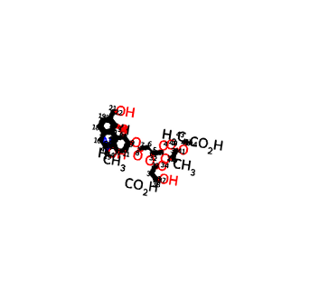 C[C@H](OC(=O)[C@H](CC(=O)OC1=CC[C@@]2(O)[C@H]3Cc4ccc(CO)c5c4[C@@]2(CCN3C)[C@H]1O5)OC(=O)C[C@H](O)C(=O)O)C(=O)O[C@H](C)C(=O)O